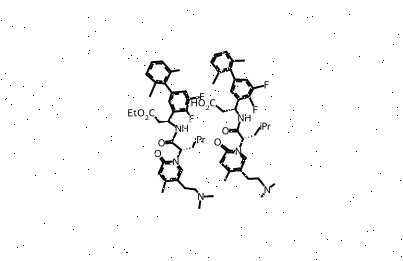 CCOC(=O)C[C@H](NC(=O)[C@H](CC(C)C)n1cc(CCN(C)C)c(C)cc1=O)c1cc(-c2c(C)cccc2C)cc(F)c1F.Cc1cc(=O)n([C@@H](CC(C)C)C(=O)N[C@@H](CC(=O)O)c2cc(-c3c(C)cccc3C)cc(F)c2F)cc1CCN(C)C